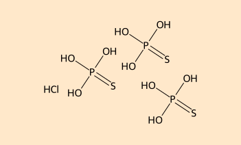 Cl.OP(O)(O)=S.OP(O)(O)=S.OP(O)(O)=S